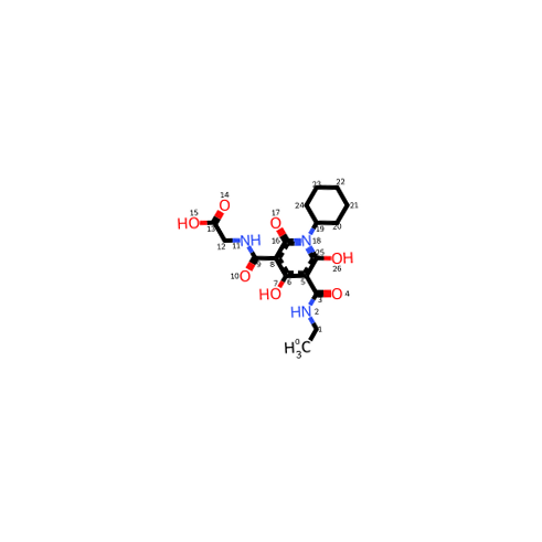 CCNC(=O)c1c(O)c(C(=O)NCC(=O)O)c(=O)n(C2CCCCC2)c1O